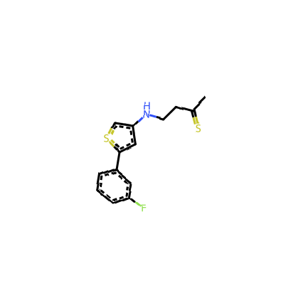 CC(=S)CCNc1csc(-c2cccc(F)c2)c1